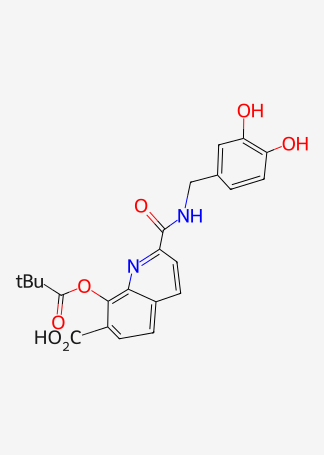 CC(C)(C)C(=O)Oc1c(C(=O)O)ccc2ccc(C(=O)NCc3ccc(O)c(O)c3)nc12